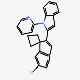 Clc1ccc2c(c1)C1(CCC1)C(c1cc3ccccc3n1-c1ccccn1)=C2